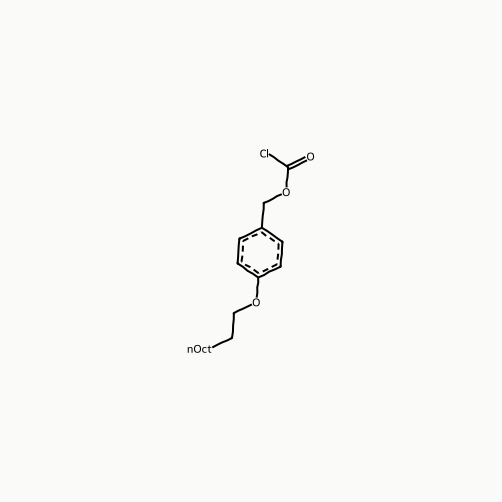 CCCCCCCCCCOc1ccc(COC(=O)Cl)cc1